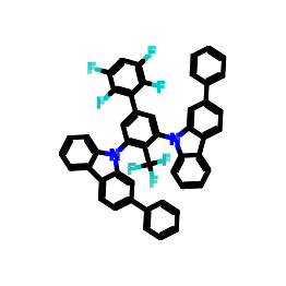 Fc1cc(F)c(F)c(-c2cc(-n3c4ccccc4c4ccc(-c5ccccc5)cc43)c(C(F)(F)F)c(-n3c4ccccc4c4ccc(-c5ccccc5)cc43)c2)c1F